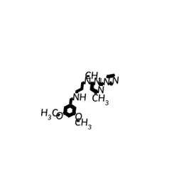 COc1cc(CNCCCN(C)c2cc(C)nc(-n3ccnc3)n2)cc(OC)c1